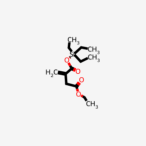 C=C(CC(=O)OCC)C(=O)O[Si](CC)(CC)CC